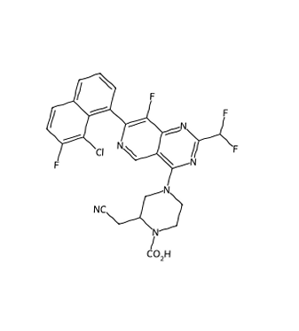 N#CCC1CN(c2nc(C(F)F)nc3c(F)c(-c4cccc5ccc(F)c(Cl)c45)ncc23)CCN1C(=O)O